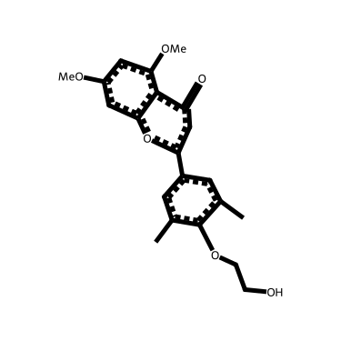 COc1cc(OC)c2c(=O)cc(-c3cc(C)c(OCCO)c(C)c3)oc2c1